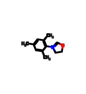 Cc1cc(C)c([N+]2=COCC2)c(C)c1